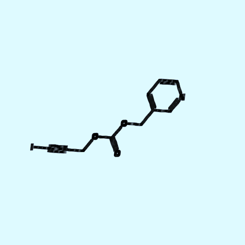 O=C(OCC#CI)OCc1cccnc1